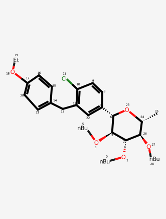 CCCCO[C@@H]1[C@@H](OCCCC)[C@H](c2ccc(Cl)c(Cc3ccc(OCC)cc3)c2)O[C@H](C)[C@H]1OCCCC